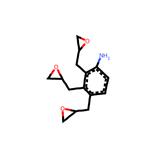 Nc1ccc(CC2CO2)c(CC2CO2)c1CC1CO1